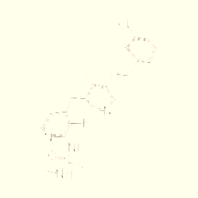 CNS(=O)(=O)Nc1nccc(Cc2cncc(OCc3cccc(Cl)c3)c2C)c1F